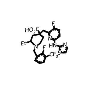 CCC1CC(Cc2nc(Nc3nccs3)ccc2F)(C(=O)O)CCN1Cc1cccc(C(F)(F)F)c1F